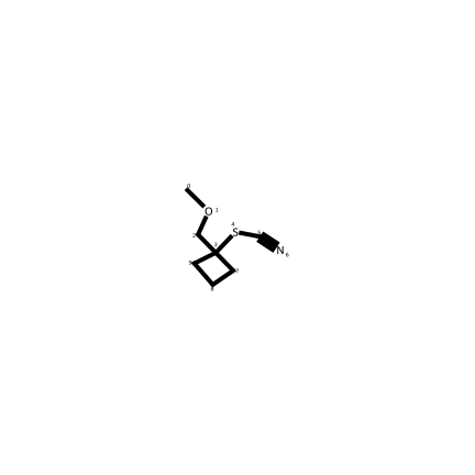 COCC1(SC#N)CCC1